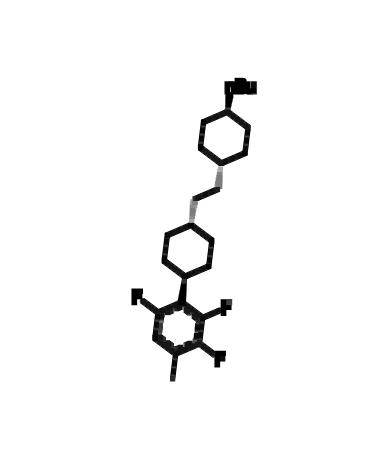 CCCC[C@H]1CC[C@H](CC[C@H]2CC[C@H](c3c(F)cc(C)c(F)c3F)CC2)CC1